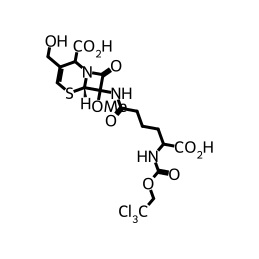 COC1(NC(=O)CCCC(NC(=O)OCC(Cl)(Cl)Cl)C(=O)O)C(=O)N2C(C(=O)O)C(CO)=CS[C@H]21